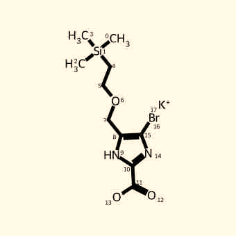 C[Si](C)(C)CCOCc1[nH]c(C(=O)[O-])nc1Br.[K+]